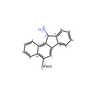 CCCCCc1cc2c(c3ccccc13)C(N)c1ccccc1-2